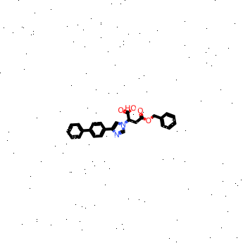 O=C(CC(C(=O)O)n1cnc(-c2ccc(-c3ccccc3)cc2)c1)OCc1ccccc1